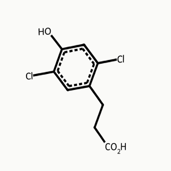 O=C(O)CCc1cc(Cl)c(O)cc1Cl